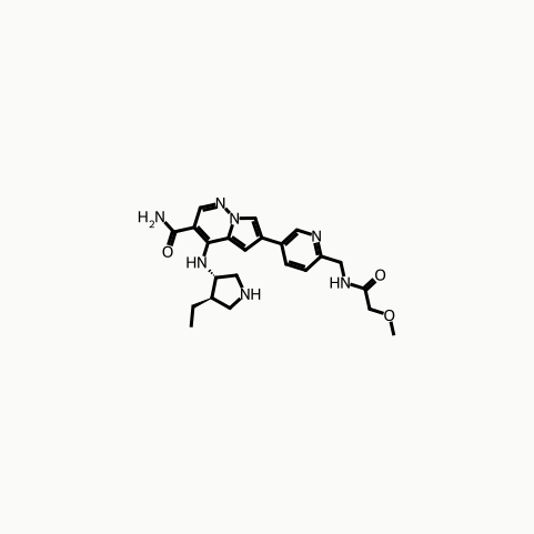 CC[C@@H]1CNC[C@H]1Nc1c(C(N)=O)cnn2cc(-c3ccc(CNC(=O)COC)nc3)cc12